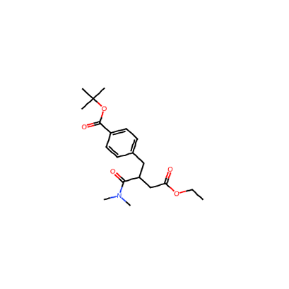 CCOC(=O)CC(Cc1ccc(C(=O)OC(C)(C)C)cc1)C(=O)N(C)C